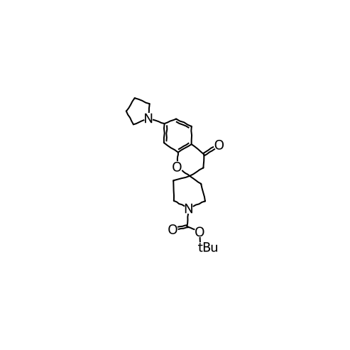 CC(C)(C)OC(=O)N1CCC2(CC1)CC(=O)c1ccc(N3CCCC3)cc1O2